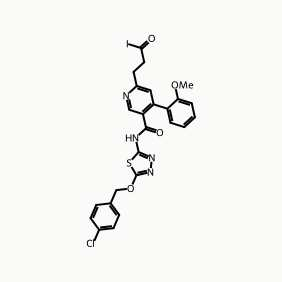 COc1ccccc1-c1cc(CCC(=O)I)ncc1C(=O)Nc1nnc(OCc2ccc(Cl)cc2)s1